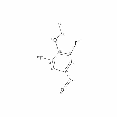 [CH2]COc1c(F)cc(C=O)cc1F